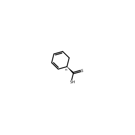 S=C(S)[C@H]1C=CC=CC1